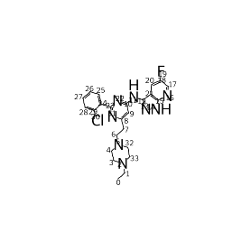 CCN1CCN(CCc2cc(Nc3n[nH]c4ncc(F)cc34)nc(-c3ccccc3Cl)n2)CC1